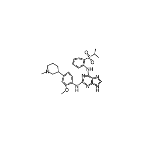 COc1cc(C2CCCN(C)C2)ccc1Nc1nc(Nc2ccccc2S(=O)(=O)C(C)C)c2nc[nH]c2n1